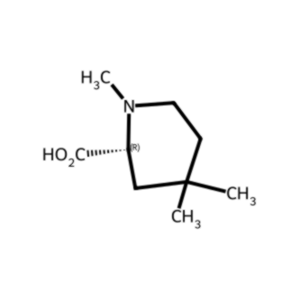 CN1CCC(C)(C)C[C@@H]1C(=O)O